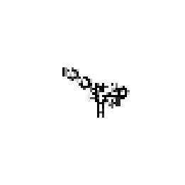 Oc1ccccc1C1C=C2C(=NN1)NC[C@H]1CN(C3CCN(C4CCNCC4)CC3)CCN21